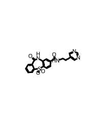 O=C(NCCc1cncnc1)c1ccc2c(c1)NC(=O)c1ccccc1S2(=O)=O